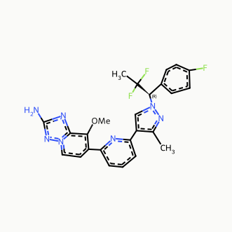 COc1c(-c2cccc(-c3cn([C@H](c4ccc(F)cc4)C(C)(F)F)nc3C)n2)ccn2nc(N)nc12